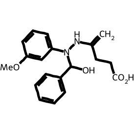 C=C(CCC(=O)O)NN(c1cccc(OC)c1)C(O)c1ccccc1